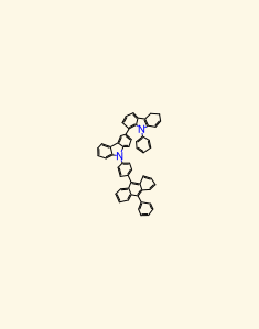 C1=Cc2c(c3cccc(-c4ccc5c(c4)c4ccccc4n5-c4ccc(-c5c6ccccc6c(-c6ccccc6)c6ccccc56)cc4)c3n2-c2ccccc2)CC1